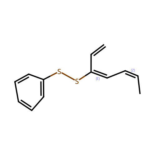 C=C/C(=C\C=C/C)SSc1ccccc1